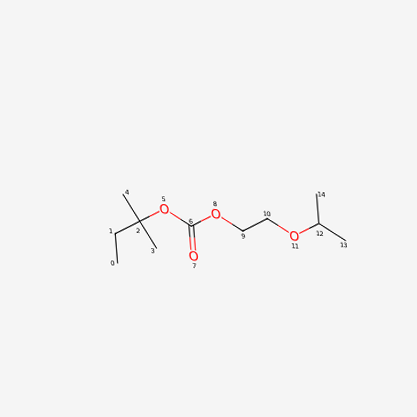 CCC(C)(C)OC(=O)OCCOC(C)C